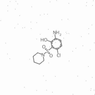 Nc1ccc(Cl)c(S(=O)(=O)N2CCCCC2)c1O